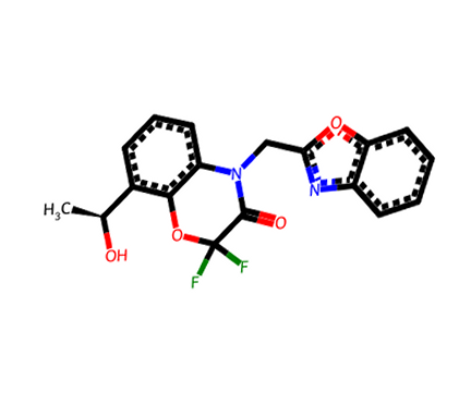 C[C@H](O)c1cccc2c1OC(F)(F)C(=O)N2Cc1nc2ccccc2o1